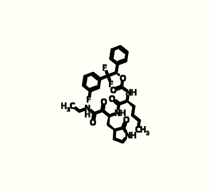 CCCC[C@H](NC(=O)O[C@@H](c1ccccc1)C(F)(F)c1cccc(F)c1)C(=O)N[C@@H](C[C@@H]1CCNC1=O)C(=O)C(=O)NCC